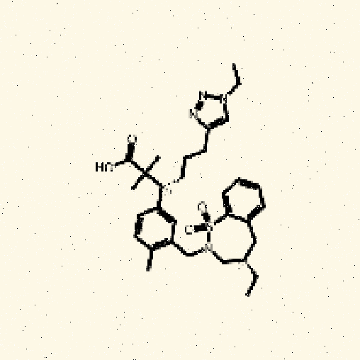 CC[C@@H]1Cc2ccccc2S(=O)(=O)N(Cc2cc([C@@H](CCCc3cn(CC)nn3)C(C)(C)C(=O)O)ccc2C)C1